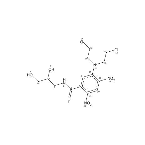 O=C(NCC(O)CO)c1cc(N(CCCl)CCCl)c([N+](=O)[O-])cc1[N+](=O)[O-]